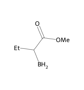 BC(CC)C(=O)OC